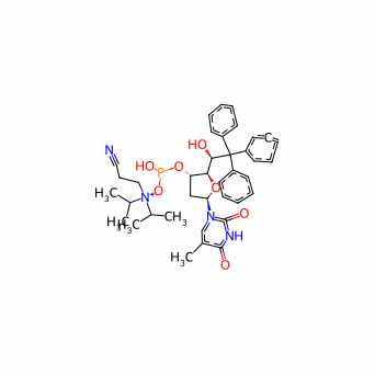 Cc1cn([C@H]2C[C@H](OP(O)O[N+](CCC#N)(C(C)C)C(C)C)[C@@H]([C@@H](O)C(c3ccccc3)(c3ccccc3)c3ccccc3)O2)c(=O)[nH]c1=O